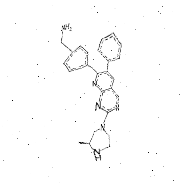 C[C@H]1CN(c2ncc3cc(-c4ccccc4)c(-c4ccc(CN)cc4)nc3n2)CCN1